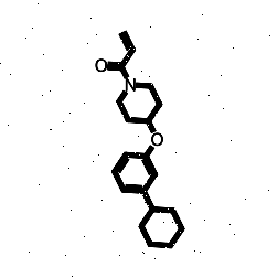 C=CC(=O)N1CCC(Oc2cccc(C3CCCCC3)c2)CC1